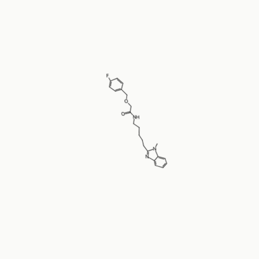 Cn1c(CCCCCNC(=O)COCc2ccc(F)cc2)nc2ccccc21